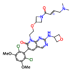 COc1cc(OC)c(Cl)c(-c2cc3cnc(NC4COC4)nc3n(CCOC3CN(C(=O)/C=C/CN(C)C)C3)c2=O)c1Cl